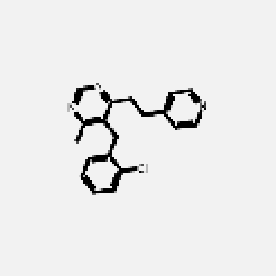 Cc1ncnc(CCc2ccncc2)c1Cc1ccccc1Cl